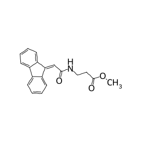 COC(=O)CCNC(=O)C=C1c2ccccc2-c2ccccc21